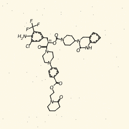 Nc1c(Cl)cc(C[C@@H](OC(=O)N2CCC(N3Cc4ccccc4NC3=O)CC2)C(=O)N2CCN(c3ccc(C(=O)OCCN4CCCCC4=O)cc3)CC2)cc1C(F)(F)F